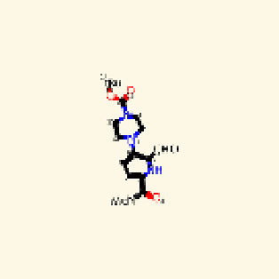 CNC(=O)C1=CC=C(N2CCN(C(=O)OC(C)(C)C)CC2)C(C=O)N1